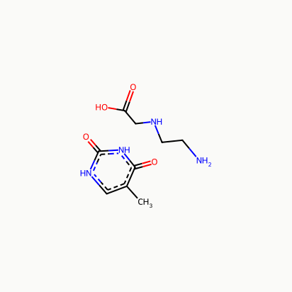 Cc1c[nH]c(=O)[nH]c1=O.NCCNCC(=O)O